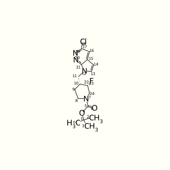 CC(C)(C)OC(=O)N1CC[C@H](Cn2ccc3cc(Cl)nnc32)[C@H](F)C1